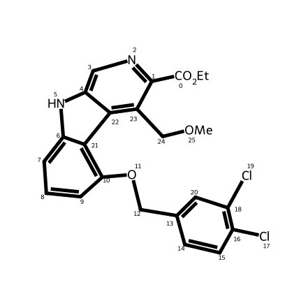 CCOC(=O)c1ncc2[nH]c3cccc(OCc4ccc(Cl)c(Cl)c4)c3c2c1COC